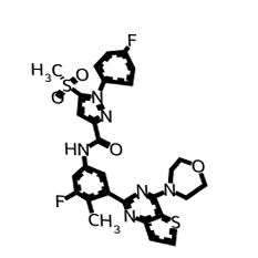 Cc1c(F)cc(NC(=O)c2cc(S(C)(=O)=O)n(-c3ccc(F)cc3)n2)cc1-c1nc(N2CCOCC2)c2sccc2n1